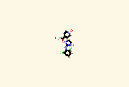 CC(ON1CCNC1=Nc1c(Cl)cccc1Cl)C1=CCN([O])C=C1